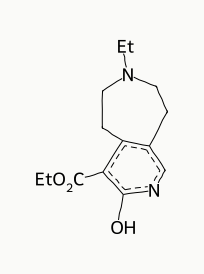 CCOC(=O)c1c(O)ncc2c1CCN(CC)CC2